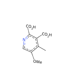 COc1cnc(C(=O)O)c(C(=O)O)c1C